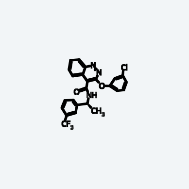 C[C@H](NC(=O)c1c(Oc2cccc(Cl)c2)nnc2ccccc12)c1cccc(C(F)(F)F)c1